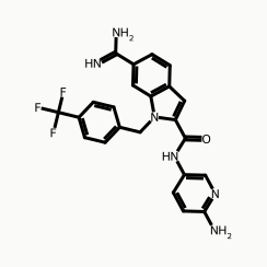 N=C(N)c1ccc2cc(C(=O)Nc3ccc(N)nc3)n(Cc3ccc(C(F)(F)F)cc3)c2c1